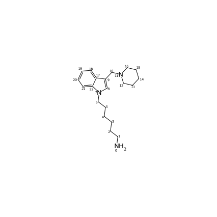 NCCCCCCn1cc(CN2CCCCC2)c2ccccc21